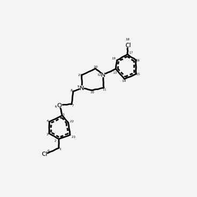 ClCc1ccc(OCCN2CCN(c3cccc(Cl)c3)CC2)cc1